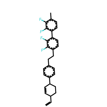 C=CC1C=CC(c2ccc(CCc3ccc(-c4ccc(C)c(F)c4F)c(F)c3F)cc2)CC1